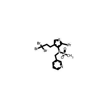 CC(C)c1scc(CCC(Br)(Br)Br)c1N(Cc1cccnc1)S(C)(=O)=O